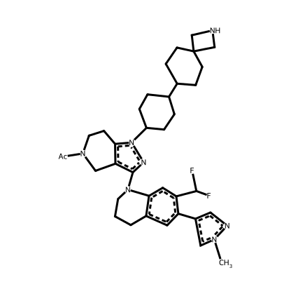 CC(=O)N1CCc2c(c(N3CCCc4cc(-c5cnn(C)c5)c(C(F)F)cc43)nn2C2CCC(C3CCC4(CC3)CNC4)CC2)C1